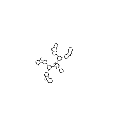 C1=CC(c2cc(-c3ccc4oc5ccccc5c4c3)cc(-c3nc(-c4ccccc4)nc(-c4cc(-c5ccc6oc7ccccc7c6c5)cc(-c5ccc6oc7ccccc7c6c5)c4)n3)c2)Cc2c1oc1ccccc21